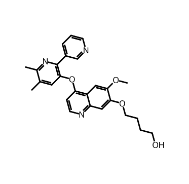 COc1cc2c(Oc3cc(C)c(C)nc3-c3cccnc3)ccnc2cc1OCCCCO